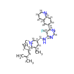 C=C(C)/C=C(\C=C/C)c1ncc(CNc2ncnc(-c3ccc4ncccc4c3)c2F)cc1C